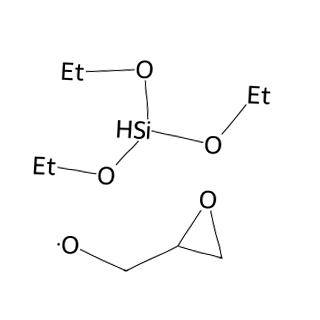 CCO[SiH](OCC)OCC.[O]CC1CO1